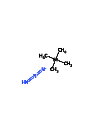 [CH3][Sn]([CH3])([CH3])[CH3].[N-]=[N+]=N